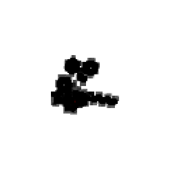 C=CB(c1ccccc1)c1ccccc1.CCCCCCOc1cccc([SiH2]C(c2ccccc2)(c2ccccc2)n2ccnc2)c1